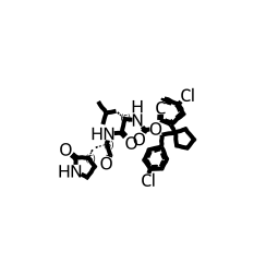 CC(C)C[C@H](NC(=O)OC(c1ccc(Cl)cc1)C1(c2cccc(Cl)c2)CCCC1)C(=O)N[C@H](C=O)C[C@@H]1CCNC1=O